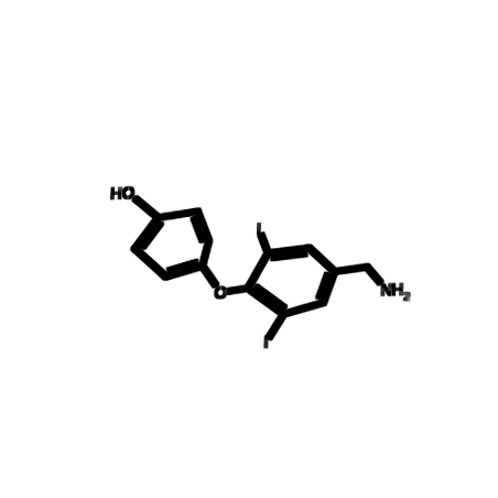 NCc1cc(I)c(Oc2ccc(O)cc2)c(I)c1